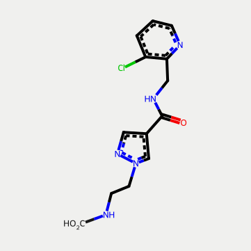 O=C(O)NCCn1cc(C(=O)NCc2ncccc2Cl)cn1